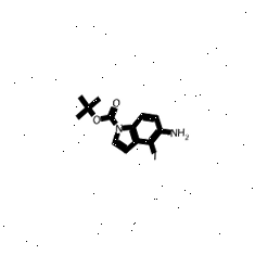 CC(C)(C)OC(=O)n1ccc2c(I)c(N)ccc21